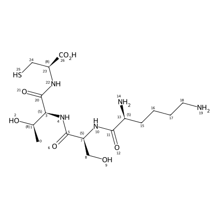 C[C@@H](O)[C@H](NC(=O)[C@H](CO)NC(=O)[C@@H](N)CCCCN)C(=O)N[C@@H](CS)C(=O)O